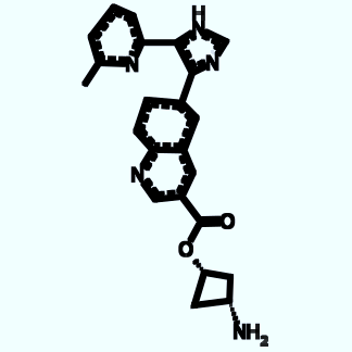 Cc1cccc(-c2[nH]cnc2-c2ccc3ncc(C(=O)O[C@H]4C[C@@H](N)C4)cc3c2)n1